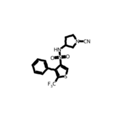 N#CN1CCC(NS(=O)(=O)c2csc(C(F)(F)F)c2-c2ccccc2)C1